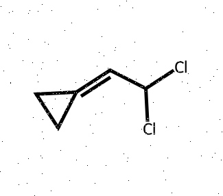 ClC(Cl)C=C1CC1